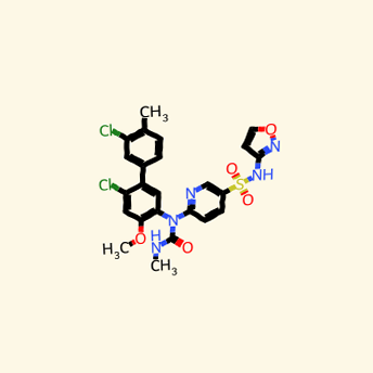 CNC(=O)N(c1ccc(S(=O)(=O)Nc2ccon2)cn1)c1cc(-c2ccc(C)c(Cl)c2)c(Cl)cc1OC